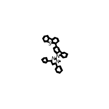 CN1C(c2ccccc2)=CC(c2ccccc2)=NC1n1c2ccccc2c2cc(-c3cccc4c3sc3ccccc34)ccc21